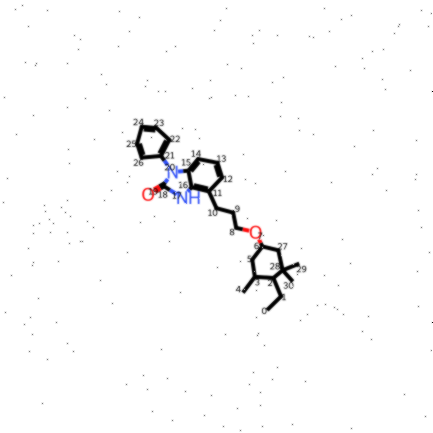 CCC1C(C)CC(OCCCc2cccc3c2[nH]c(=O)n3-c2ccccc2)CC1(C)C